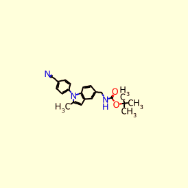 Cc1cc2cc(CNC(=O)OC(C)(C)C)ccc2n1-c1ccc(C#N)cc1